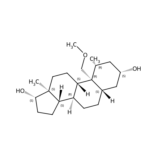 COC[C@]12[C@@H](CC[C@H]3[C@@H]4CC[C@H](O)[C@@]4(C)CC[C@@H]31)C[C@@H](O)C[C@H]2C